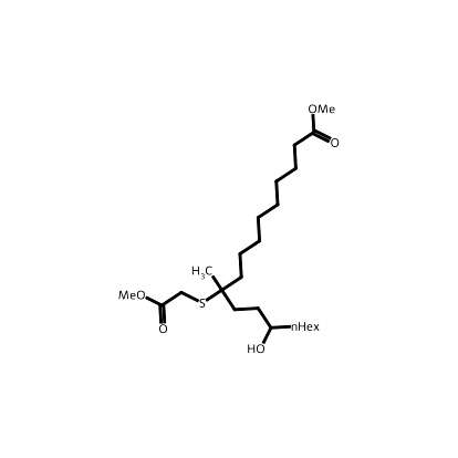 CCCCCCC(O)CCC(C)(CCCCCCCCC(=O)OC)SCC(=O)OC